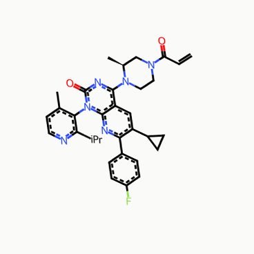 C=CC(=O)N1CCN(c2nc(=O)n(-c3c(C)ccnc3C(C)C)c3nc(-c4ccc(F)cc4)c(C4CC4)cc23)[C@@H](C)C1